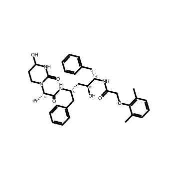 Cc1cccc(C)c1OCC(=O)N[C@@H](Cc1ccccc1)[C@@H](O)C[C@H](Cc1ccccc1)NC(=O)[C@H](C(C)C)N1CCC(O)NC1=O